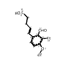 CCOc1ccc(C=CCCC(=O)O)c(C=O)c1CC